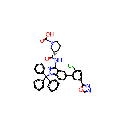 O=C(Nc1nn(C(c2ccccc2)(c2ccccc2)c2ccccc2)c2ccc(-c3cc(-c4nnco4)ccc3Cl)cc12)[C@@H]1CCCN(C(=O)O)C1